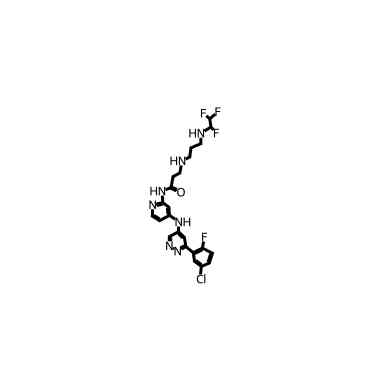 O=C(CCNCCCNC(F)C(F)F)Nc1cc(Nc2cnnc(-c3cc(Cl)ccc3F)c2)ccn1